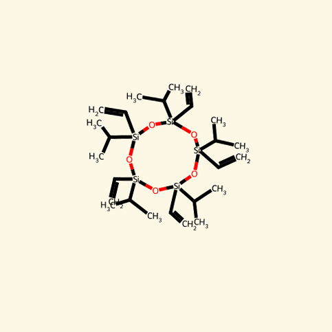 C=C[Si]1(C(C)C)O[Si](C=C)(C(C)C)O[Si](C=C)(C(C)C)O[Si](C=C)(C(C)C)O[Si](C=C)(C(C)C)O1